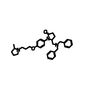 CC1CCCN1CCCOc1ccc(N2C(=O)CCC2CN(Cc2ccccc2)Cc2ccccc2)cc1